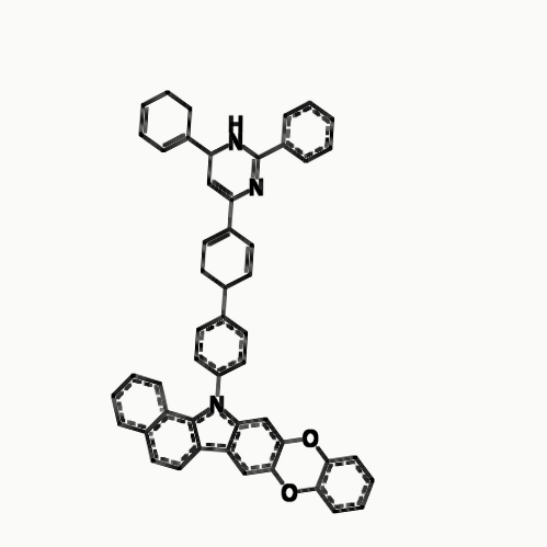 C1=CCCC(C2C=C(C3=CCC(c4ccc(-n5c6cc7c(cc6c6ccc8ccccc8c65)Oc5ccccc5O7)cc4)C=C3)N=C(c3ccccc3)N2)=C1